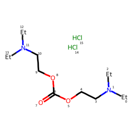 CCN(CC)CCOC(=O)OCCN(CC)CC.Cl.Cl